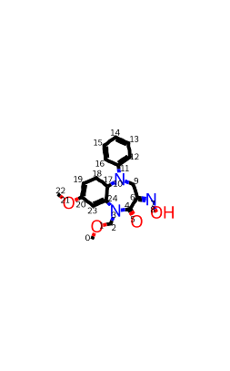 COCN1C(=O)C(=NO)CN(c2ccccc2)C2CC=C(OC)C=C21